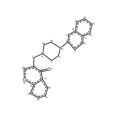 O=c1c(CN2CCN(c3ccc4ccccc4c3)CC2)coc2ccccc12